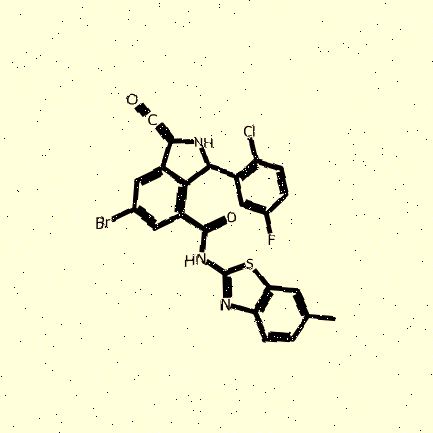 Cc1ccc2nc(NC(=O)c3cc(Br)cc4c3C(c3cc(F)ccc3Cl)NC4=C=O)sc2c1